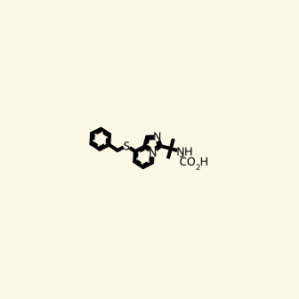 CC(C)(NC(=O)O)c1ncc2c(SCc3ccccc3)cccn12